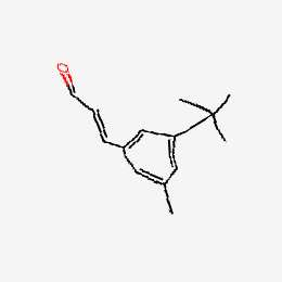 Cc1cc(/C=C/C=O)cc(C(C)(C)C)c1